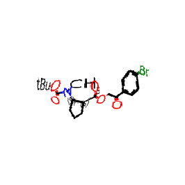 CN(C(=O)OC(C)(C)C)[C@H]1CCC[C@@H]1C(=O)OCC(=O)c1ccc(Br)cc1